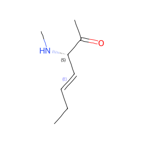 CC/C=C/[C@H](NC)C(C)=O